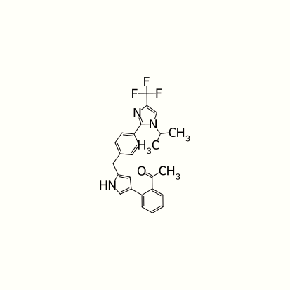 CC(=O)c1ccccc1-c1c[nH]c(Cc2ccc(-c3nc(C(F)(F)F)cn3C(C)C)cc2)c1